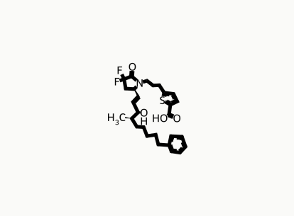 C[C@@H](CCCCCc1ccccc1)[C@H](O)C=C[C@H]1CC(F)(F)C(=O)N1CCCc1ccc(C(=O)O)s1